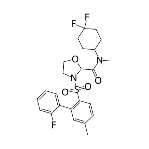 Cc1ccc(S(=O)(=O)N2CCOC2C(=O)N(C)C2CCC(F)(F)CC2)c(-c2ccccc2F)c1